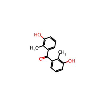 Cc1c(O)cccc1C(=O)c1cccc(O)c1C